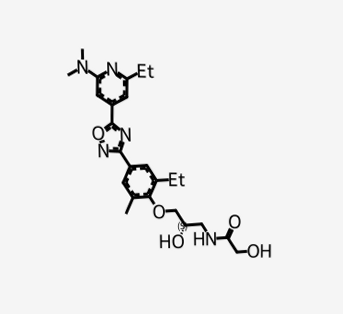 CCc1cc(-c2nc(-c3cc(C)c(OC[C@@H](O)CNC(=O)CO)c(CC)c3)no2)cc(N(C)C)n1